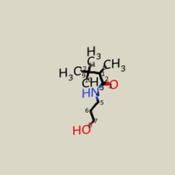 CC(C(=O)NCCCO)C(C)(C)C